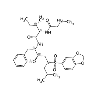 CC[C@H](C)[C@H](NC(=O)CNC)C(=O)N[C@@H](Cc1ccccc1)[C@H](O)CN(CC(C)C)S(=O)(=O)c1ccc2c(c1)OCO2